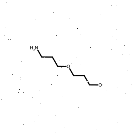 NCCCOCCC[O]